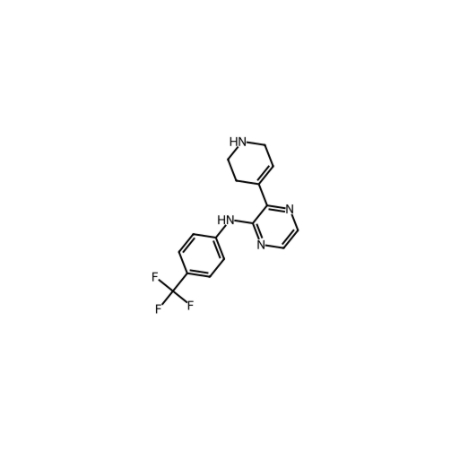 FC(F)(F)c1ccc(Nc2nccnc2C2=CCNCC2)cc1